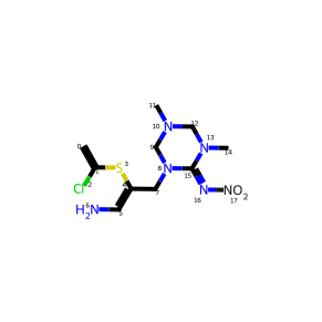 C=C(Cl)S/C(=C\N)CN1CN(C)CN(C)/C1=N\[N+](=O)[O-]